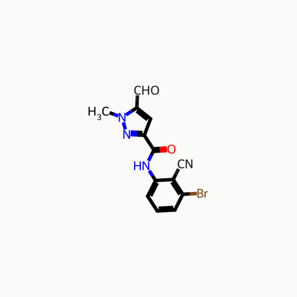 Cn1nc(C(=O)Nc2cccc(Br)c2C#N)cc1C=O